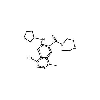 Cc1nnc(O)c2cc(NC3CCCC3)c(C(=O)N3CCOCC3)cc12